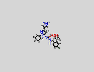 Cc1c(-c2cnn(C)c2)nn(-c2ccccc2)c1NC(=O)N[C@@H]1c2ccc(F)cc2C2(CC2)C1O